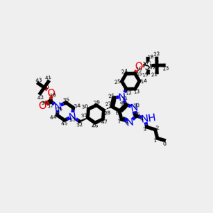 CCCCNc1ncc2c(n1)n(C1CCC(O[Si](C)(C)C(C)(C)C)CC1)cc2[C@H]1CC[C@H](CN2CCN(C(=O)OC(C)(C)C)CC2)CC1